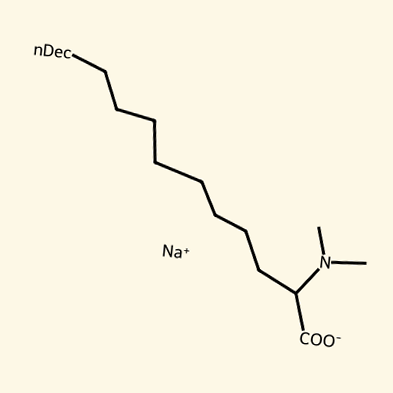 CCCCCCCCCCCCCCCCCCC(C(=O)[O-])N(C)C.[Na+]